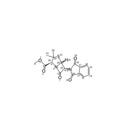 COC(=O)[C@@H]1N2C(=O)[C@H](N3C(=O)c4ccccc4C3=O)[C@H]2SC1(C)C